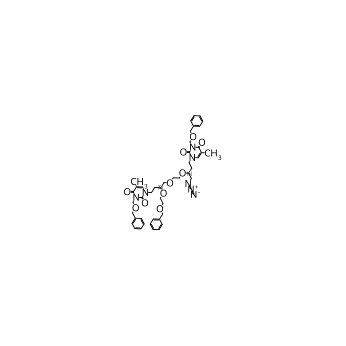 Cc1cn(CC[C@@H](CN=[N+]=[N-])OCCOC[C@H](CCn2cc(C)c(=O)n(COCc3ccccc3)c2=O)OCCOCc2ccccc2)c(=O)n(COCc2ccccc2)c1=O